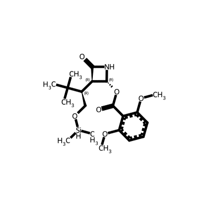 COc1cccc(OC)c1C(=O)O[C@H]1NC(=O)[C@@H]1[C@@H](CO[SiH](C)C)C(C)(C)C